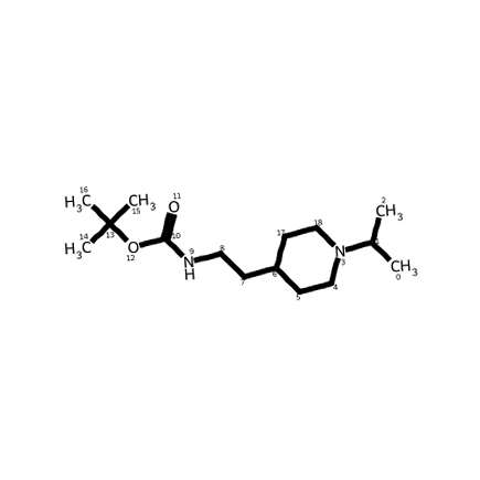 CC(C)N1CCC(CCNC(=O)OC(C)(C)C)CC1